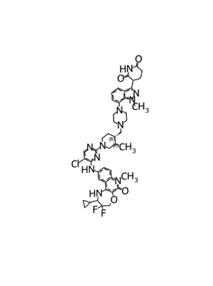 C[C@H]1CN(c2ncc(Cl)c(Nc3ccc4c(c3)c3c(c(=O)n4C)OCC(F)(F)C(C4CC4)N3)n2)CC[C@H]1CN1CCN(c2cccc3c(C4CCC(=O)NC4=O)nn(C)c23)CC1